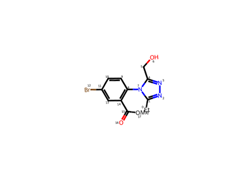 CCc1nnc(CO)n1-c1ccc(Br)cc1C(=O)OC